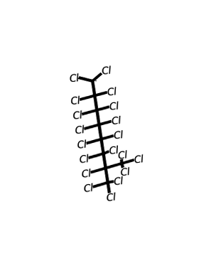 Cl[C](Cl)C(Cl)(Cl)C(Cl)(Cl)C(Cl)(Cl)C(Cl)(Cl)C(Cl)(Cl)C(Cl)(C(Cl)(Cl)Cl)C(Cl)(Cl)Cl